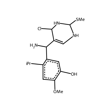 COc1cc(C(C)C)c(C(N)C2=CNC(SC)NC2Cl)cc1O